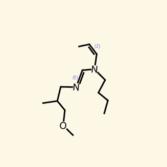 C/C=C\N(/C=N/CC(C)COC)CCCC